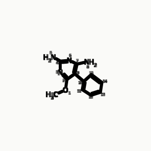 COc1nc(N)nc(N)c1-c1ccccc1